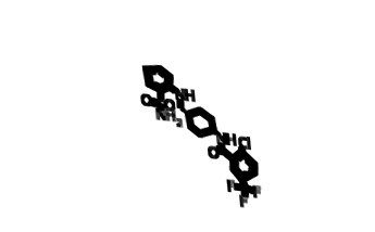 NS(=O)(=O)c1ccccc1NC[C@H]1CC[C@H](NC(=O)c2cc(C(F)(F)F)ccc2Cl)CC1